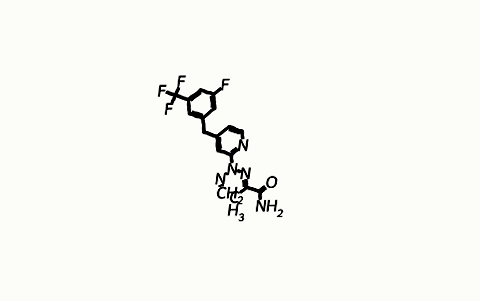 C=NN(/N=C(\C)C(N)=O)c1cc(Cc2cc(F)cc(C(F)(F)F)c2)ccn1